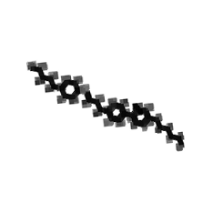 CCCCCCc1ccc(-c2ccc(CC/C=C/[C@H]3CC[C@H](CCCCC)CC3)cc2)nc1